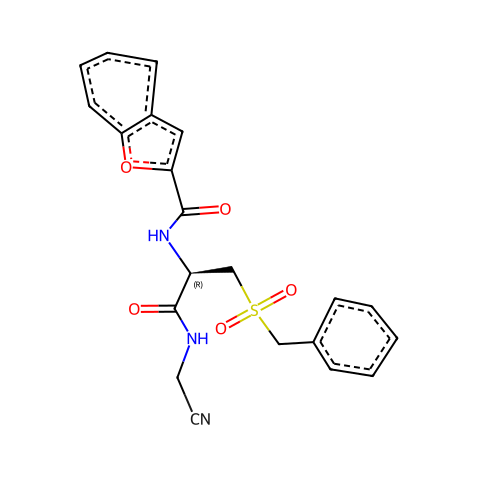 N#CCNC(=O)[C@H](CS(=O)(=O)Cc1ccccc1)NC(=O)c1cc2ccccc2o1